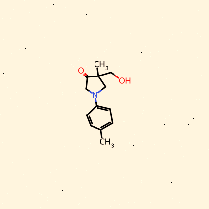 Cc1ccc(N2CC(=O)C(C)(CO)C2)cc1